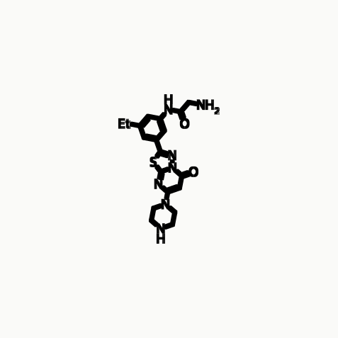 CCc1cc(NC(=O)CN)cc(-c2nn3c(=O)cc(N4CCNCC4)nc3s2)c1